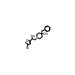 OC(CN1CCC(O)(Cc2ccccc2)CC1)c1cc(Br)no1